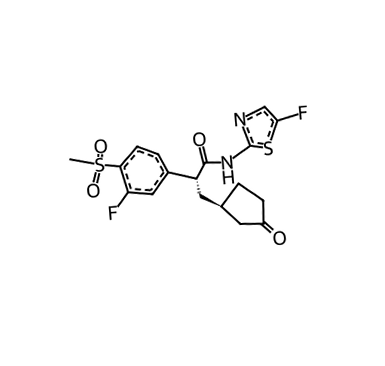 CS(=O)(=O)c1ccc([C@@H](C[C@H]2CCC(=O)C2)C(=O)Nc2ncc(F)s2)cc1F